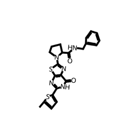 Cc1ccc(-c2nc3sc(N4CCCC4C(=O)NCc4ccccc4)nc3c(=O)[nH]2)s1